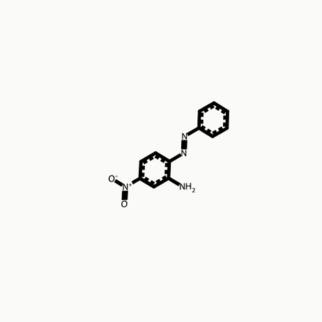 Nc1cc([N+](=O)[O-])ccc1N=Nc1ccccc1